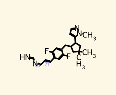 Cn1nccc1C1CC(C)(C)CC1Cc1cc(F)c(/C=C/C=N\C=N)cc1F